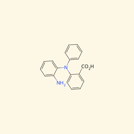 Nc1ccccc1N(c1ccccc1)c1ccccc1C(=O)O